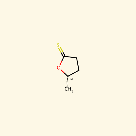 C[C@H]1CCC(=S)O1